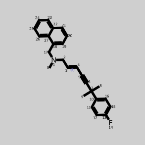 CN(C/C=C/C#CC(C)(C)c1ccc(F)cc1)Cc1cccc2ccccc12